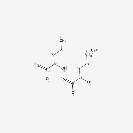 CCCC(O)C([O-])=S.CCCC(O)C([O-])=S.[Ca+2]